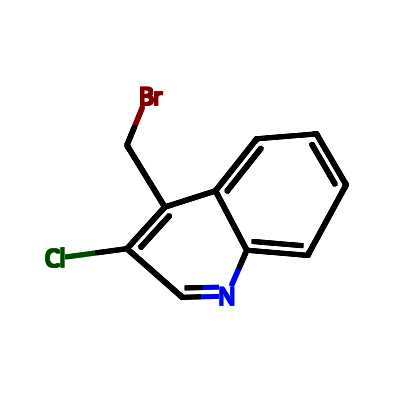 Clc1cnc2ccccc2c1CBr